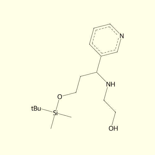 CC(C)(C)[Si](C)(C)OCCC(NCCO)c1cccnc1